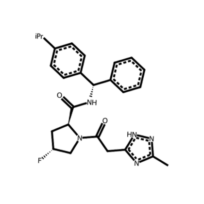 Cc1n[nH]c(CC(=O)N2C[C@H](F)C[C@H]2C(=O)N[C@@H](c2ccccc2)c2ccc(C(C)C)cc2)n1